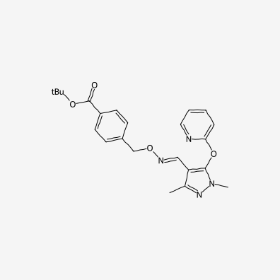 Cc1nn(C)c(Oc2ccccn2)c1C=NOCc1ccc(C(=O)OC(C)(C)C)cc1